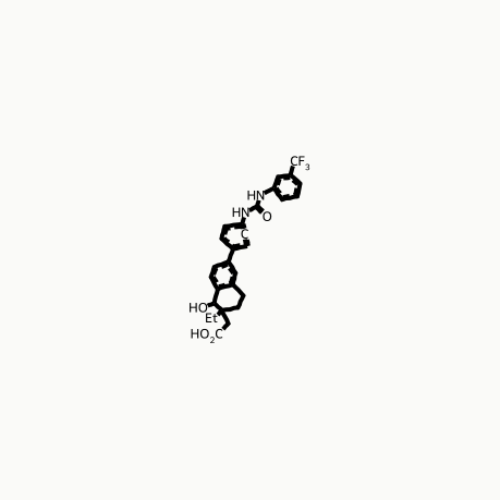 CCC1(CC(=O)O)CCc2cc(-c3ccc(NC(=O)Nc4cccc(C(F)(F)F)c4)cc3)ccc2C1O